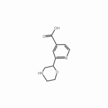 O=C(O)c1ccnc(C2CNCCO2)c1